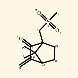 C=C1C(=O)C2(CS(C)(=O)=O)CCC1C2(C)C